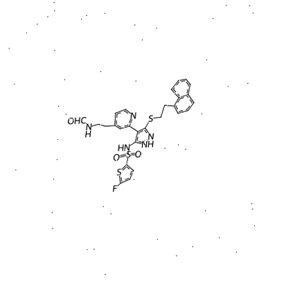 O=CNCCc1ccnc(-c2c(SCCc3cccc4ccccc34)n[nH]c2NS(=O)(=O)c2ccc(F)s2)c1